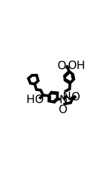 O=C(O)c1ccc(CCN2C(=O)CC(=O)N2c2ccc(C(O)CCC3CCCCC3)cc2)cc1